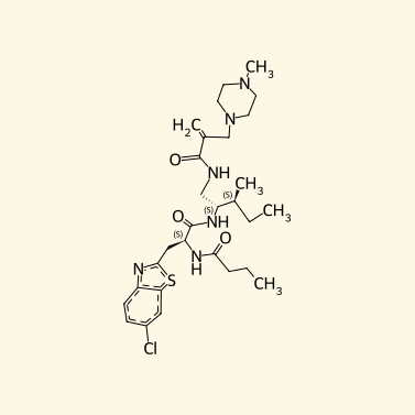 C=C(CN1CCN(C)CC1)C(=O)NC[C@@H](NC(=O)[C@H](Cc1nc2ccc(Cl)cc2s1)NC(=O)CCC)[C@@H](C)CC